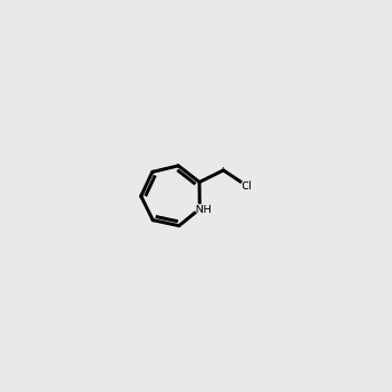 Cl[CH]C1=CC=CC=CN1